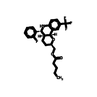 CCCCC(=O)OC[C@H]1CC[C@@H]2[C@H](O1)c1cc(C(F)(F)F)ccc1N[C@H]2c1ccccc1F